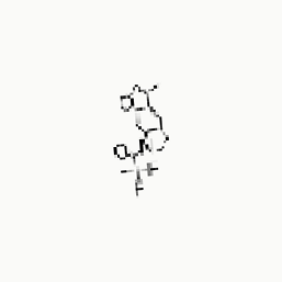 Cc1coc2cc3c(cc12)CCN3C(=O)C(F)(F)F